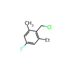 CCc1cc(F)cc(C)c1CCl